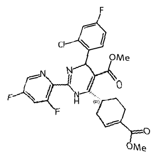 COC(=O)C1=CC[C@H](C2=C(C(=O)OC)C(c3ccc(F)cc3Cl)N=C(c3ncc(F)cc3F)N2)CC1